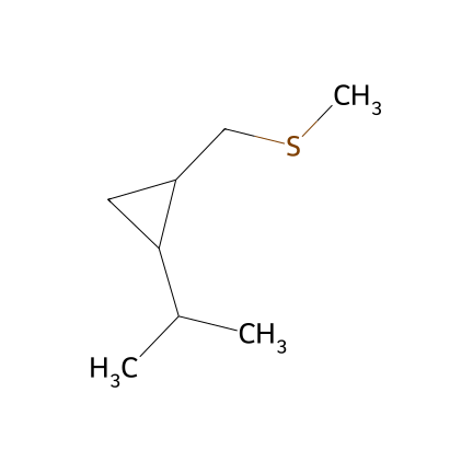 CSCC1CC1C(C)C